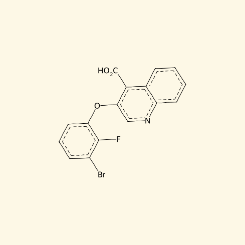 O=C(O)c1c(Oc2cccc(Br)c2F)cnc2ccccc12